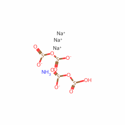 N.O=S([O-])OS(=O)O.O=S([O-])OS(=O)[O-].[Na+].[Na+].[Na+]